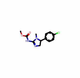 COC(=O)NC1=NCC(c2ccc(Cl)cc2)N1C